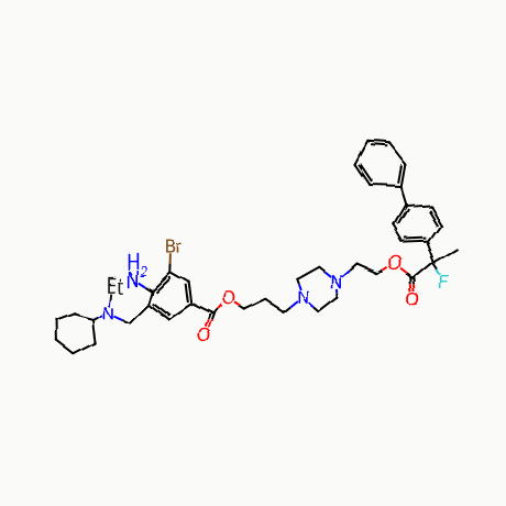 CCN(Cc1cc(C(=O)OCCCN2CCN(CCOC(=O)C(C)(F)c3ccc(-c4ccccc4)cc3)CC2)cc(Br)c1N)C1CCCCC1